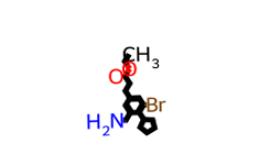 CCOC(=O)CCc1cc(Br)c(C2CCCC2)c(CN)c1